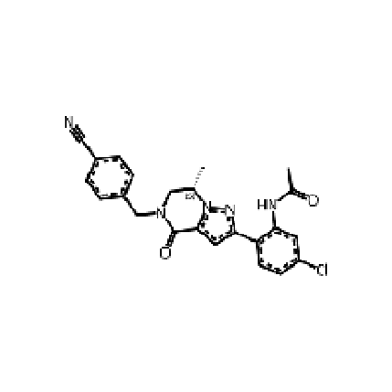 CC(=O)Nc1cc(Cl)ccc1-c1cc2n(n1)[C@@H](C)CN(Cc1ccc(C#N)cc1)C2=O